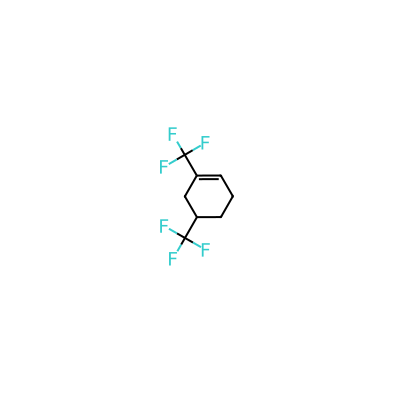 FC(F)(F)C1=CCCC(C(F)(F)F)C1